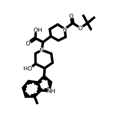 Cc1cccc2c(C3CCN(C(C(=O)O)C4CCN(C(=O)OC(C)(C)C)CC4)CC3O)c[nH]c12